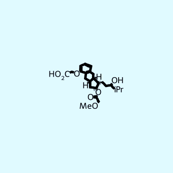 COCC(=O)O[C@@H]1C[C@@H]2Cc3c(cccc3OCC(=O)O)C[C@@H]2[C@H]1CCC(O)C(C)C